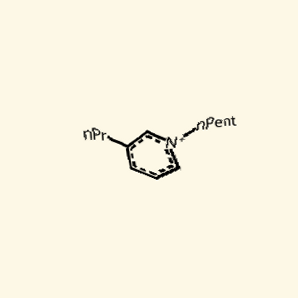 CCCCC[n+]1cccc(CCC)c1